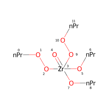 CCCO[O][Zr](=[O])([O]CCC)([O]CCC)[O]OCCC